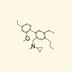 CCCc1cc(CN(C)C2CC2)c(-c2ccc(CC)cc2OC)cc1CC